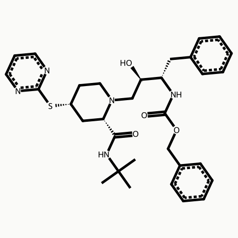 CC(C)(C)NC(=O)[C@@H]1C[C@H](Sc2ncccn2)CCN1C[C@@H](O)[C@H](Cc1ccccc1)NC(=O)OCc1ccccc1